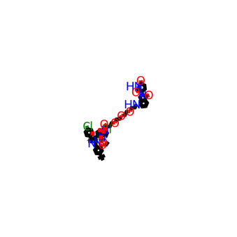 CCOc1cc(C(C)(C)C)ccc1C1=N[C@@](C)(c2ccc(Cl)cc2)[C@@](C)(c2ccc(Cl)cc2)N1C(=O)N1CCN(C(=O)CCOCCOCCOCCNc2cccc3c2CN(C2CCC(=O)NC2=O)C3=O)CC1